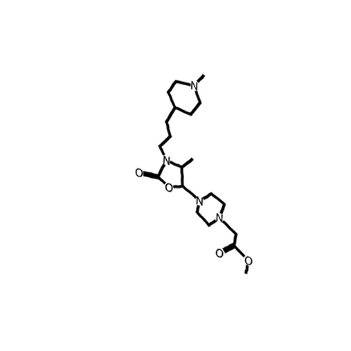 COC(=O)CN1CCN(C2OC(=O)N(CCCC3CCN(C)CC3)C2C)CC1